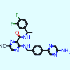 CC(NC(=O)c1nc(C#N)cnc1NCc1ccc(-c2cnc(N)cn2)cc1)c1ccc(F)c(F)c1